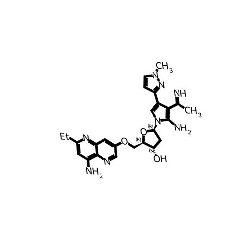 CCc1cc(N)c2ncc(OC[C@H]3O[C@@H](n4cc(-c5ccn(C)n5)c(C(C)=N)c4N)C[C@@H]3O)cc2n1